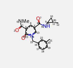 CNC(=O)c1cc(C(=O)N[C@@H]2C[C@H]2C)cn(Cc2cccc(C)c2)c1=O